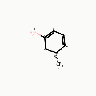 BC1=CC=C[C@H](C(F)(F)F)C1